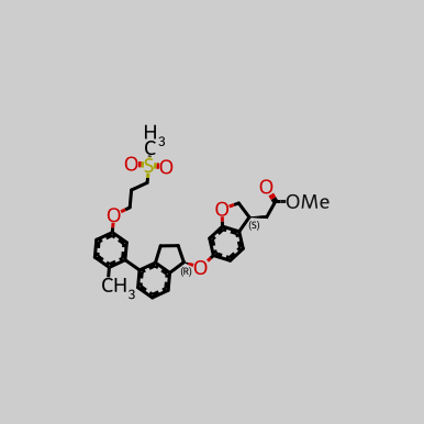 COC(=O)C[C@@H]1COc2cc(O[C@@H]3CCc4c(-c5cc(OCCCS(C)(=O)=O)ccc5C)cccc43)ccc21